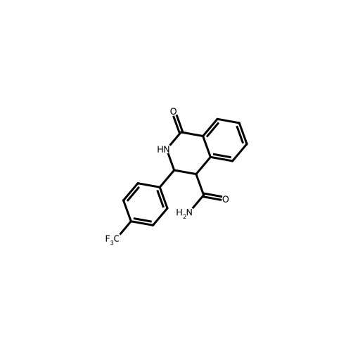 NC(=O)C1c2ccccc2C(=O)NC1c1ccc(C(F)(F)F)cc1